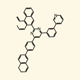 C=Cc1c(/C=C\C)c(-c2nc(-c3ccc(-c4ccc5c(c4)C=CCC5)cc3)cc(-c3cccc(-c4cccnc4)c3)n2)cc2ccccc12